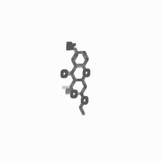 CCOC1CC2Oc3ccc(Br)cc3C(=O)C2[C@@H](C)O1